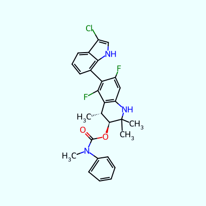 C[C@@H]1c2c(cc(F)c(-c3cccc4c(Cl)c[nH]c34)c2F)NC(C)(C)[C@H]1OC(=O)N(C)c1ccccc1